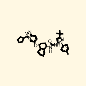 Cc1ccc(-n2nc(C(C)(C)C)cc2NC(=O)N[C@H]2CC[C@@H](Oc3ccc4nnc(C5CCCC5)n4c3)c3ccccc32)cc1